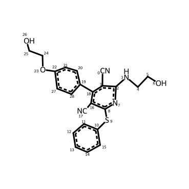 N#Cc1c(NCCO)nc(Sc2ccccc2)c(C#N)c1-c1ccc(OCCO)cc1